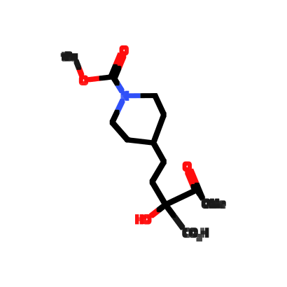 COC(=O)C(O)(CCC1CCN(C(=O)OC(C)(C)C)CC1)C(=O)O